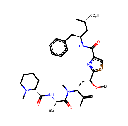 C=C(C)[C@@H](C[C@@H](OCC)c1nc(C(=O)N[C@@H](Cc2ccccc2)C[C@H](C)C(=O)O)cs1)N(C)C(=O)[C@@H](NC(=O)[C@H]1CCCCN1C)[C@@H](C)CC